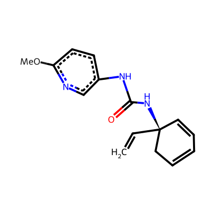 C=C[C@]1(NC(=O)Nc2ccc(OC)nc2)C=CC=CC1